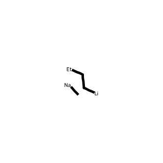 [CH3][Na].[Li][CH2]CCC